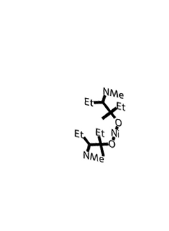 CCC(NC)C(C)(CC)[O][Ni][O]C(C)(CC)C(CC)NC